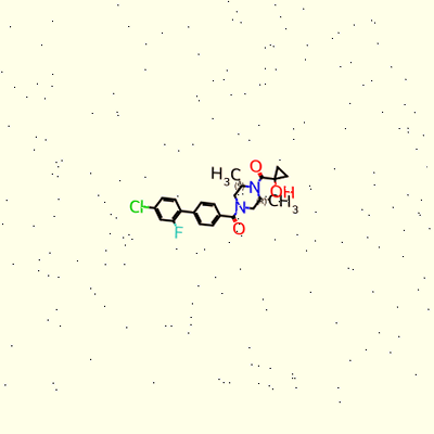 C[C@@H]1CN(C(=O)c2ccc(-c3ccc(Cl)cc3F)cc2)C[C@H](C)N1C(=O)C1(O)CC1